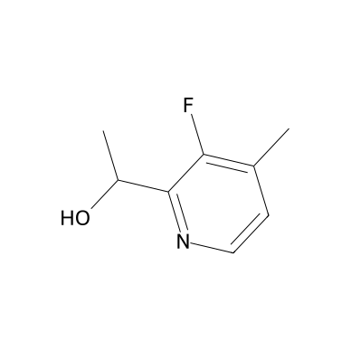 Cc1ccnc(C(C)O)c1F